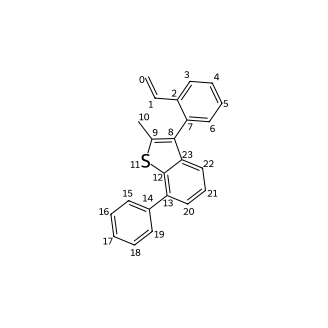 C=Cc1ccccc1-c1c(C)sc2c(-c3ccccc3)cccc12